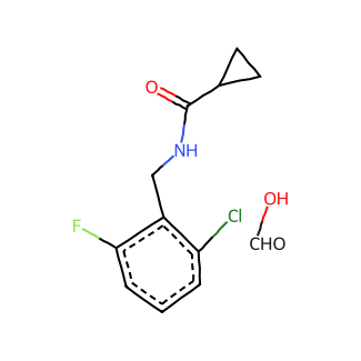 O=C(NCc1c(F)cccc1Cl)C1CC1.O=CO